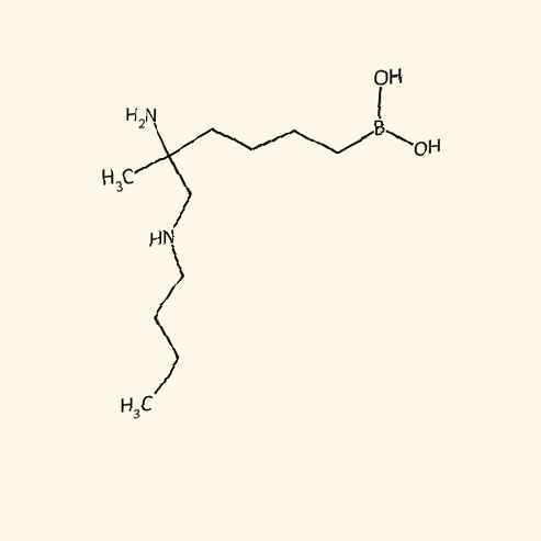 CCCCNCC(C)(N)CCCCB(O)O